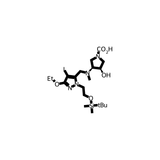 CCOc1nn(CCO[Si](C)(C)C(C)(C)C)c(CN(C)[C@H]2CN(C(=O)O)C[C@H]2O)c1I